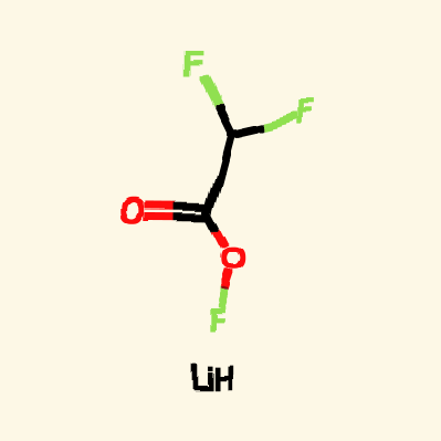 O=C(OF)C(F)F.[LiH]